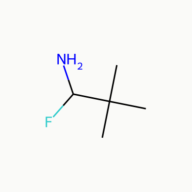 CC(C)(C)C(N)F